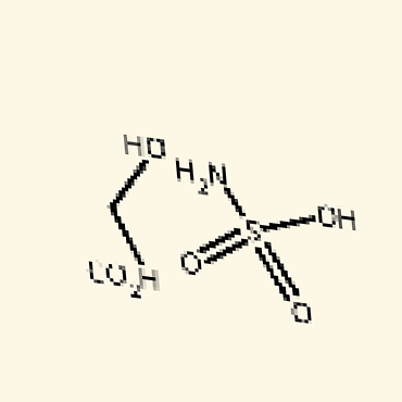 NS(=O)(=O)O.O=C(O)CO